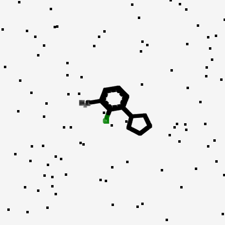 Cc1cccc(C2CCCC2)c1Cl